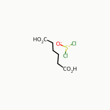 O=C(O)CCCCC(=O)O.[O-][S+](Cl)Cl